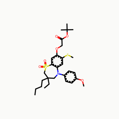 CCCCC1(CC)CN(c2ccc(OC)cc2)c2cc(SC)c(OCC(=O)OC(C)(C)C)cc2S(=O)(=O)C1